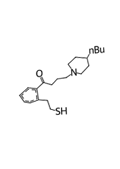 CCCCC1CCN(CCCC(=O)c2ccccc2CCS)CC1